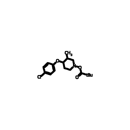 CC1CN(OC(=O)C(C)(C)C)CCC1Oc1ccc(Cl)cc1